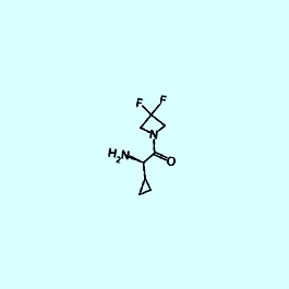 N[C@@H](C(=O)N1CC(F)(F)C1)C1CC1